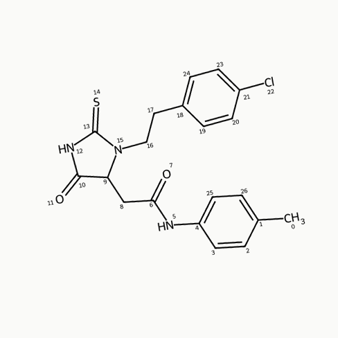 Cc1ccc(NC(=O)CC2C(=O)NC(=S)N2CCc2ccc(Cl)cc2)cc1